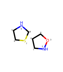 C1CNOC1.C1CSCN1